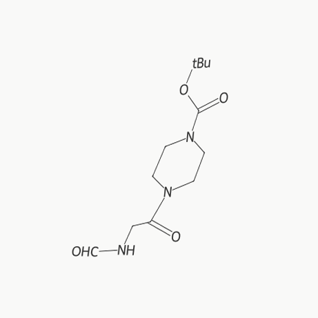 CC(C)(C)OC(=O)N1CCN(C(=O)CNC=O)CC1